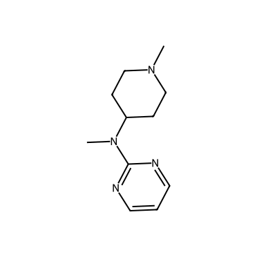 CN1CCC(N(C)c2ncccn2)CC1